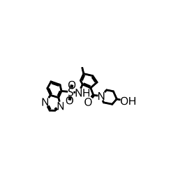 Cc1ccc(C(=O)N2CCC(O)CC2)c(NS(=O)(=O)c2cccc3nccnc23)c1